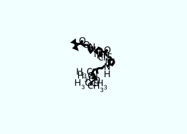 CC(C)(C)OC(=O)N1CC(CCCNc2cccc(SNC(=O)c3ccc(-n4ccc(OCC(=O)C5C6(CC6)C56CC6)n4)nc3Cl)n2)CC1(C)C